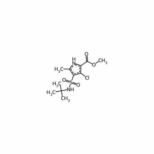 COC(=O)c1[nH]c(C)c(S(=O)(=O)NC(C)(C)C)c1Cl